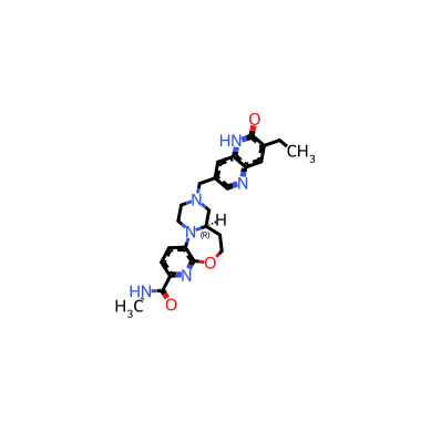 CCc1cc2ncc(CN3CCN4c5ccc(C(=O)NC)nc5OCC[C@@H]4C3)cc2[nH]c1=O